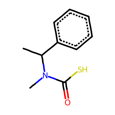 CC(c1ccccc1)N(C)C(=O)S